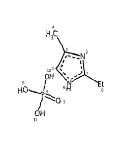 CCc1nc(C)c[nH]1.O=P(O)(O)O